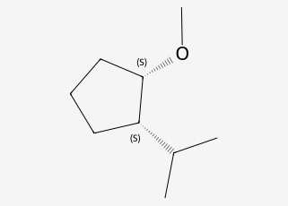 CO[C@H]1CCC[C@H]1C(C)C